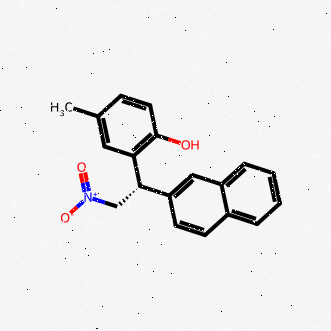 Cc1ccc(O)c([C@@H](C[N+](=O)[O-])c2ccc3ccccc3c2)c1